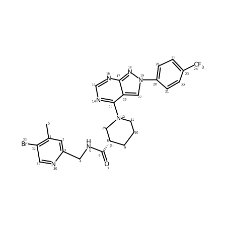 Cc1cc(CNC(=O)[C@H]2CCCN(c3ncnc4nn(-c5ccc(C(F)(F)F)cc5)cc34)C2)ncc1Br